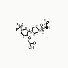 O=C(O)COc1ccc(C(F)(F)F)cc1-c1ccc(S(=O)(=O)NC2CC2)cc1